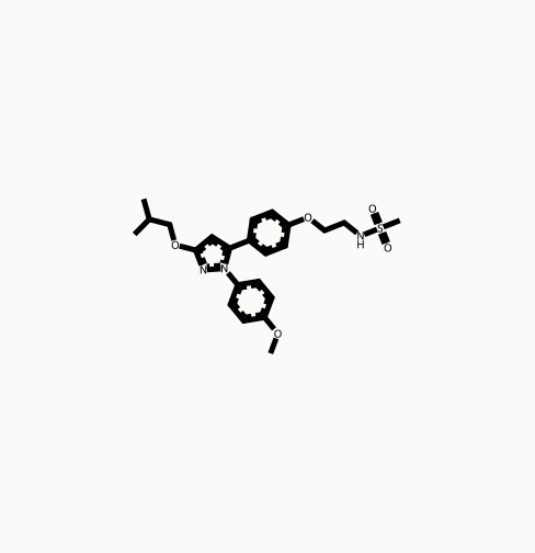 COc1ccc(-n2nc(OCC(C)C)cc2-c2ccc(OCCNS(C)(=O)=O)cc2)cc1